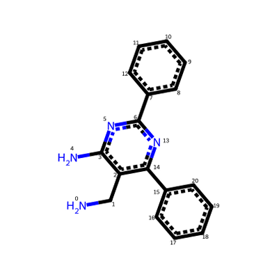 NCc1c(N)nc(-c2ccccc2)nc1-c1ccccc1